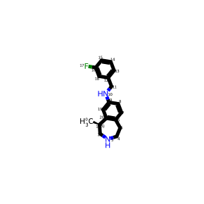 C[C@@H]1CNCCc2ccc(NCc3cccc(F)c3)cc21